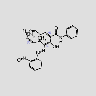 C=CC/C=C(C(=O)Nc1ccccc1)\C(O)=C(\N=NC1=C(N=O)C=CCC1)C(=C)/C=C\C